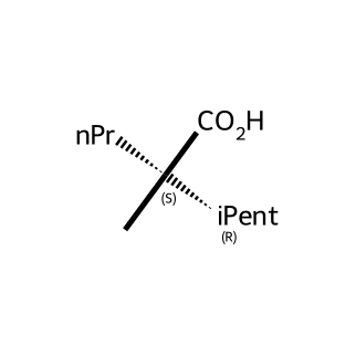 CCC[C@@H](C)[C@](C)(CCC)C(=O)O